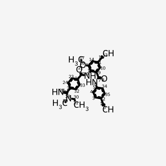 C#Cc1ccc(NC(=O)c2cc(C#C)cc(OC)c2NC(=O)c2ccc(C(=N)N(C)CC)cc2)cc1